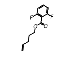 C=CCCCOC(=O)c1c(F)cccc1F